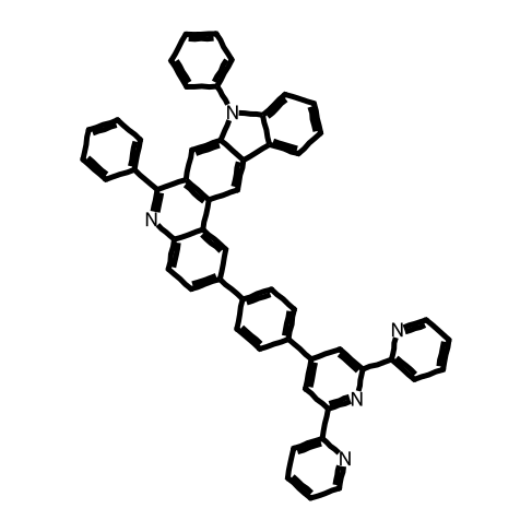 c1ccc(-c2nc3ccc(-c4ccc(-c5cc(-c6ccccn6)nc(-c6ccccn6)c5)cc4)cc3c3cc4c5ccccc5n(-c5ccccc5)c4cc23)cc1